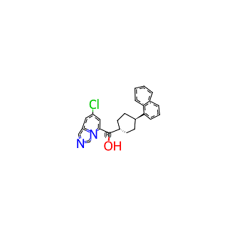 O[C@@H](c1cc(Cl)cc2cncn12)[C@H]1CC[C@H](c2cccc3ccccc32)CC1